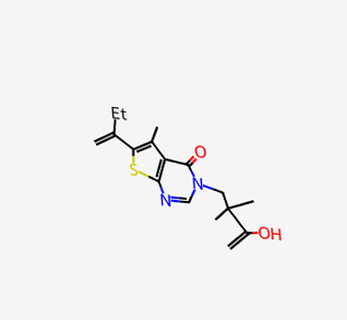 C=C(CC)c1sc2ncn(CC(C)(C)C(=C)O)c(=O)c2c1C